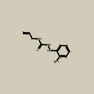 C=CCNC(=S)NNc1ccccc1Br